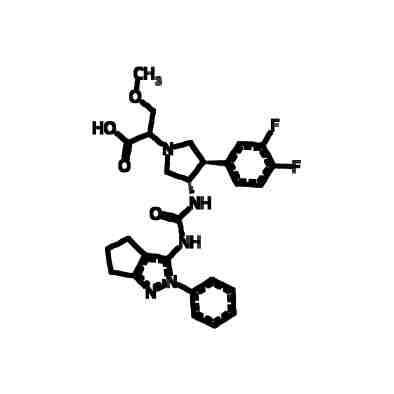 COCC(C(=O)O)N1C[C@@H](NC(=O)Nc2c3c(nn2-c2ccccc2)CCC3)[C@H](c2ccc(F)c(F)c2)C1